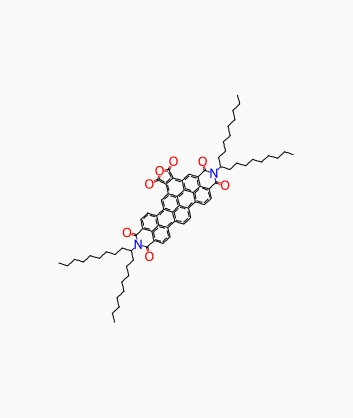 CCCCCCCCCC(CCCCCCCCC)N1C(=O)c2ccc3c4ccc5c6ccc7c8c(cc9c%10c(=O)oc(=O)c%10c%10cc(c%11ccc(c2c3%11)C1=O)c4c5c%10c9c86)C(=O)N(C(CCCCCCCCC)CCCCCCCCC)C7=O